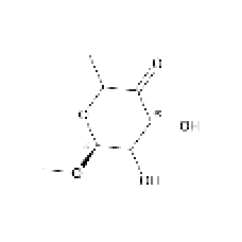 CO[C@H]1OC(C)C(=O)[C@H](O)C1O